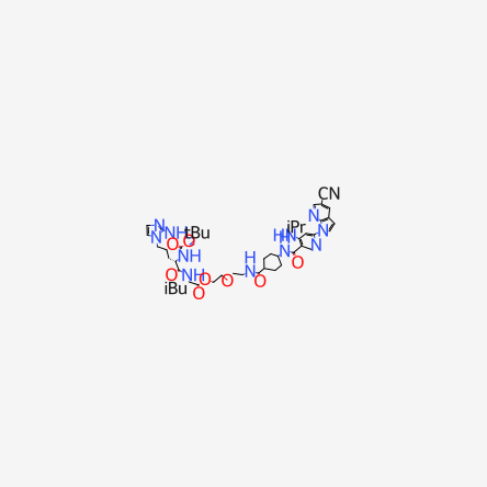 CC[C@H](C)[C@H](NC(=O)[C@H](CCCn1ccnc1N)NC(=O)OC(C)(C)C)C(=O)OCCOCCNC(=O)C1CCC(NC(=O)c2cnc(-n3ccc4cc(C#N)cnc43)cc2NC(C)C)CC1